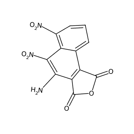 Nc1c2c(c3cccc([N+](=O)[O-])c3c1[N+](=O)[O-])C(=O)OC2=O